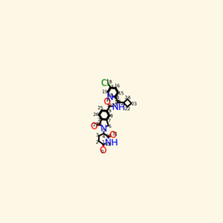 O=C1CCC(N2Cc3cc(C(=O)N[C@@H](c4ccc(Cl)cn4)C4CCC4)ccc3C2=O)C(=O)N1